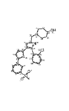 CS(=O)(=O)c1cccc(-c2ccc(-c3cc(CN4CCC(O)CC4)nn3-c3ccccc3Cl)s2)c1